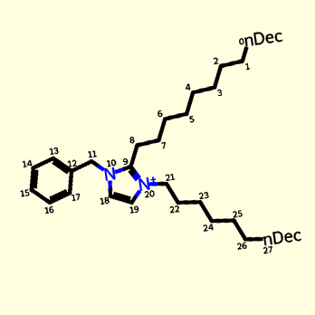 CCCCCCCCCCCCCCCCCCc1n(Cc2ccccc2)cc[n+]1CCCCCCCCCCCCCCCC